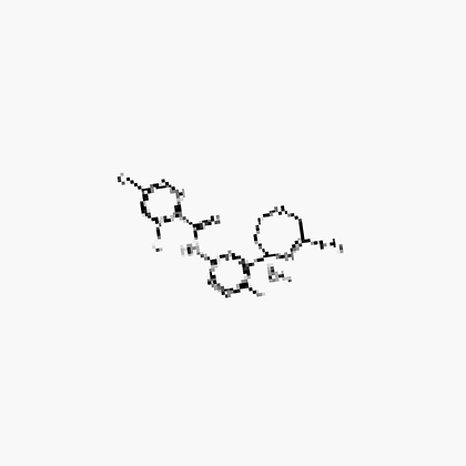 C[C@@]1(c2cc(NC(=O)c3ncc(Cl)cc3Cl)ccc2F)CCOCC(N)=N1